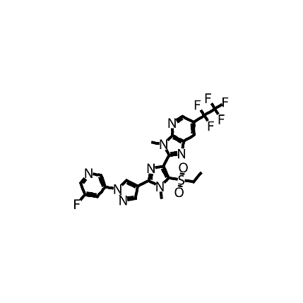 CCS(=O)(=O)c1c(-c2nc3cc(C(F)(F)C(F)(F)F)cnc3n2C)nc(-c2cnn(-c3cncc(F)c3)c2)n1C